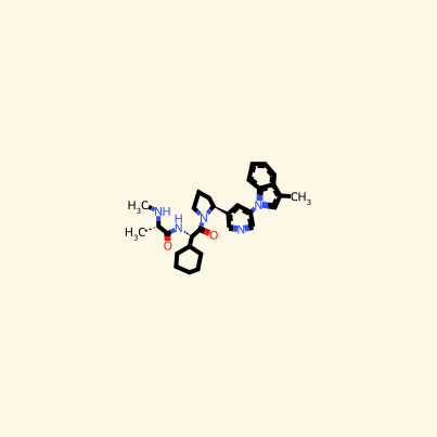 CN[C@@H](C)C(=O)N[C@H](C(=O)N1CCC[C@H]1c1cncc(-n2cc(C)c3ccccc32)c1)C1CCCCC1